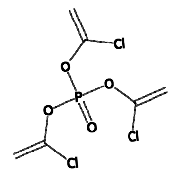 C=C(Cl)OP(=O)(OC(=C)Cl)OC(=C)Cl